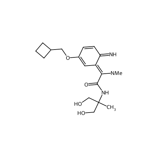 CN/C(C(=O)NC(C)(CO)CO)=C1/C=C(OCC2CCC2)C=CC1=N